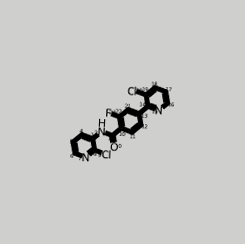 O=C(Nc1cccnc1Cl)c1ccc(-c2ncccc2Cl)cc1F